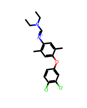 CCN(/C=N/c1cc(C)c(Oc2ccc(Cl)c(Cl)c2)cc1C)CC